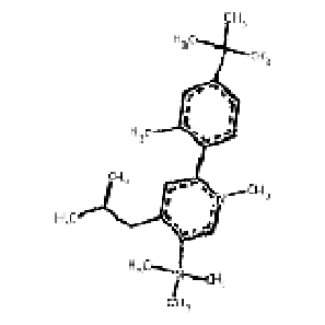 Cc1cc(C(C)(C)C)ccc1-c1cc(CC(C)C)c([Si](C)(C)C)c[n+]1C